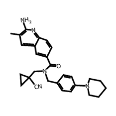 Cc1cc2cc(C(=O)N(Cc3ccc(N4CCCCC4)cc3)CC3(C#N)CC3)ccc2nc1N